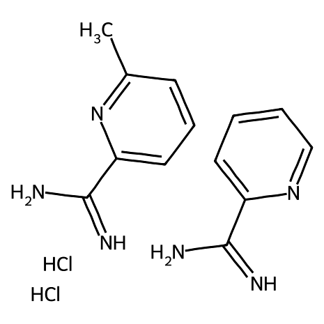 Cc1cccc(C(=N)N)n1.Cl.Cl.N=C(N)c1ccccn1